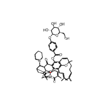 COC(=O)/C(C)=C\CC12OC(C)(C)C3CC(C1=O)C(N1CCCCC1)C1C(=O)c4c(OC(=O)c5ccc(O[C@@H]6O[C@H](CO)[C@@H](O)[C@H](O)[C@H]6O)cc5)c5c(c(CC=C(C)C)c4OC132)OC(C)(CCC=C(C)C)C=C5